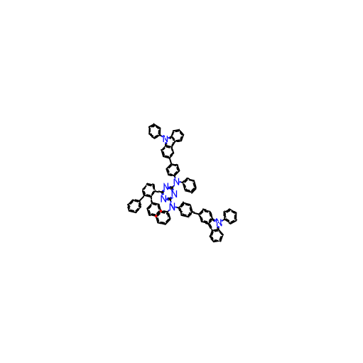 c1ccc(-c2cccc(-c3nc(N(c4ccccc4)c4ccc(-c5ccc6c(c5)c5ccccc5n6-c5ccccc5)cc4)nc(N(c4ccccc4)c4ccc(-c5ccc6c(c5)c5ccccc5n6-c5ccccc5)cc4)n3)c2-c2ccccc2)cc1